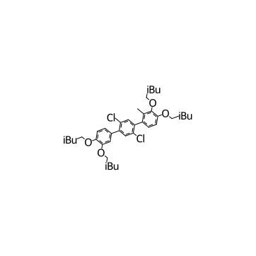 CCC(C)COc1ccc(-c2cc(Cl)c(-c3ccc(OCC(C)CC)c(OCC(C)CC)c3C)cc2Cl)cc1OCC(C)CC